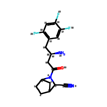 N#CC1C2CCC(C2)N1C(=O)C[C@H](N)Cc1cc(F)c(F)cc1F